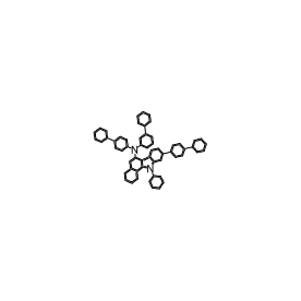 c1ccc(-c2ccc(-c3ccc4c5c(N(c6ccc(-c7ccccc7)cc6)c6cccc(-c7ccccc7)c6)cc6ccccc6c5n(-c5ccccc5)c4c3)cc2)cc1